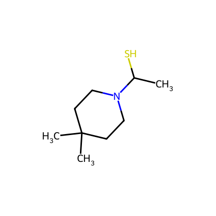 CC(S)N1CCC(C)(C)CC1